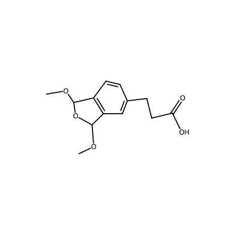 COC1OC(OC)c2cc(CCC(=O)O)ccc21